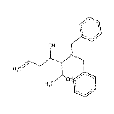 C=CCC(O)C(C(C)C)N(Cc1ccccc1)Cc1ccccc1